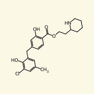 Cc1cc(Cl)c(O)c(Cc2ccc(C(=O)OCCC3CCCCN3)c(O)c2)c1